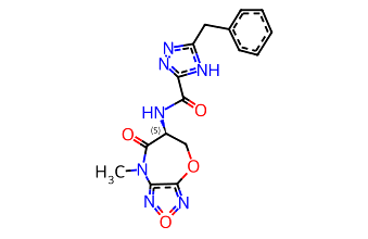 CN1C(=O)[C@@H](NC(=O)c2nnc(Cc3ccccc3)[nH]2)COc2nonc21